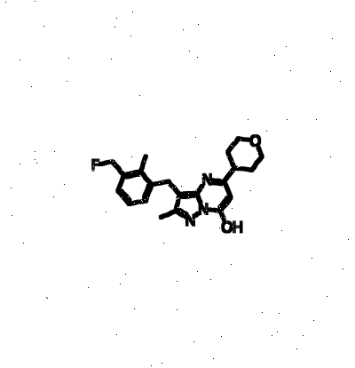 Cc1nn2c(O)cc(C3CCOCC3)nc2c1Cc1cccc(CF)c1C